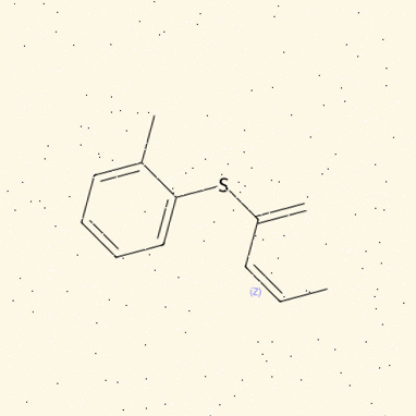 C=C(/C=C\C)Sc1ccccc1C